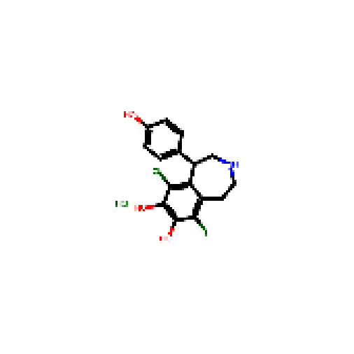 Cl.Oc1ccc(C2CNCCc3c(F)c(O)c(O)c(Cl)c32)cc1